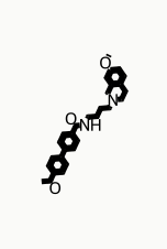 COc1ccc2c(c1)CN(CCCCNC(=O)c1ccc(-c3ccc(C(C)=O)cc3)cc1)CC2